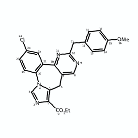 CCOC(=O)c1ncn2c1Cc1cnc(Cc3ccc(OC)cc3)nc1-c1cc(Cl)ccc1-2